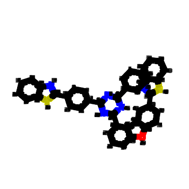 c1ccc(-c2nc(-c3ccc(-c4nc5ccccc5s4)cc3)nc(-c3cccc4oc5ccc(-c6nc7ccccc7s6)cc5c34)n2)cc1